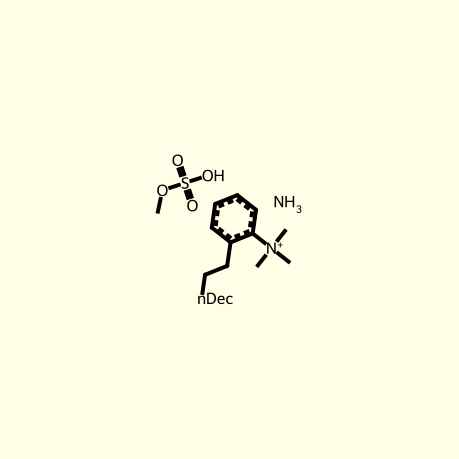 CCCCCCCCCCCCc1ccccc1[N+](C)(C)C.COS(=O)(=O)O.N